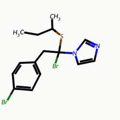 CCC(C)SC(Br)(Cc1ccc(Br)cc1)n1ccnc1